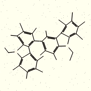 CCn1c2c(C)c(C)c(C)c(C)c2c2c(C)c(-c3c(C)c(C)c(C)c4c3c3c(C)c(C)c(C)c(C)c3n4CC)c(C)c(C)c21